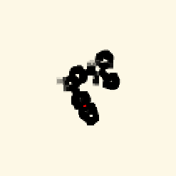 O=C(N[C@H](c1ncccn1)C1CCCC1)c1ccc2[nH]nc(-c3ccc(N4C5CCC4CC(O)C5)cc3)c2c1